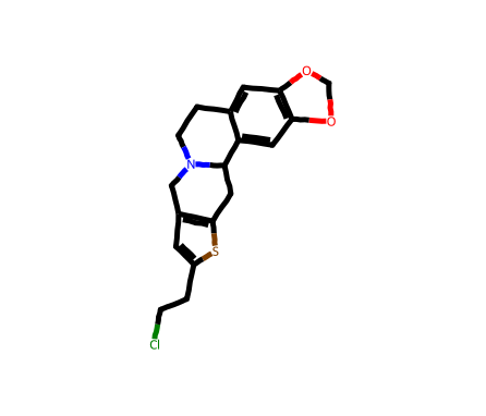 ClCCc1cc2c(s1)CC1c3cc4c(cc3CCN1C2)OCO4